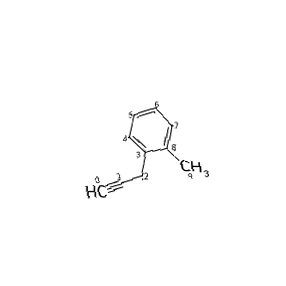 C#C[CH]c1ccccc1C